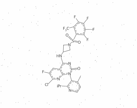 Cc1ccnc(C(C)C)c1-n1c(=O)nc(NC2CN(S(=O)(=O)c3c(F)c(F)c(F)c(F)c3C(F)(F)F)C2)c2cc(F)c(Cl)nc21